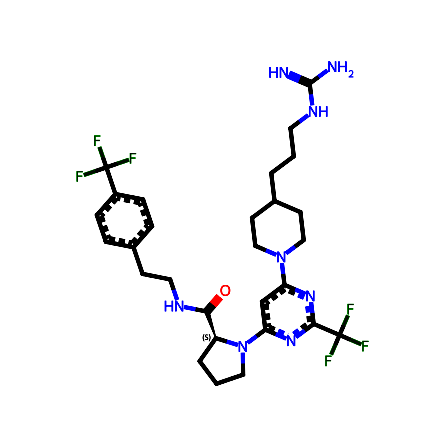 N=C(N)NCCCC1CCN(c2cc(N3CCC[C@H]3C(=O)NCCc3ccc(C(F)(F)F)cc3)nc(C(F)(F)F)n2)CC1